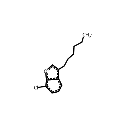 [CH2]CCCCCc1coc2c(Cl)cccc12